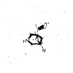 O=[C][C@]12CNC[C@H](C1)O2